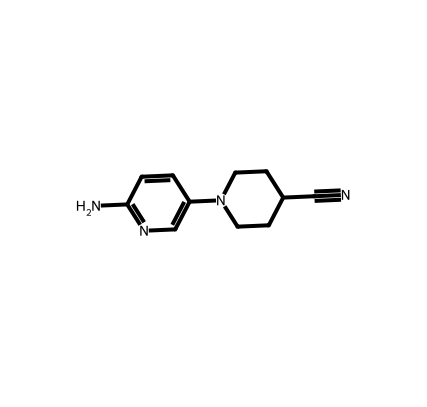 N#CC1CCN(c2ccc(N)nc2)CC1